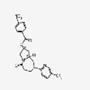 O=C(O[C@H]1C[C@H]2CN(c3ccc(C(F)(F)F)cn3)CCC(=O)N2C1)c1ccc([N+](=O)[O-])cc1